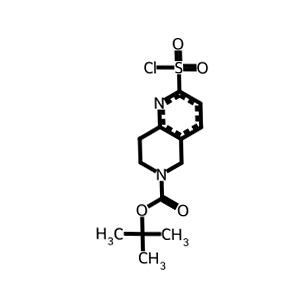 CC(C)(C)OC(=O)N1CCc2nc(S(=O)(=O)Cl)ccc2C1